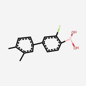 Cc1ccc(-c2ccc(B(O)O)c(F)c2)cc1C